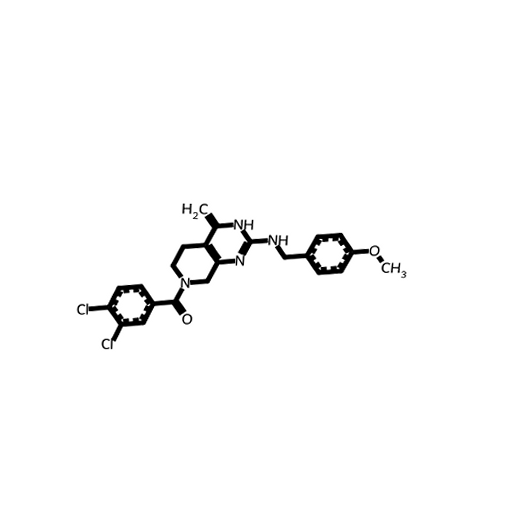 C=C1NC(NCc2ccc(OC)cc2)=NC2=C1CCN(C(=O)c1ccc(Cl)c(Cl)c1)C2